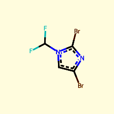 FC(F)n1cc(Br)nc1Br